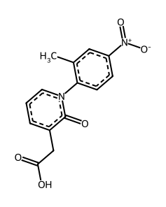 Cc1cc([N+](=O)[O-])ccc1-n1cccc(CC(=O)O)c1=O